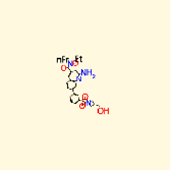 CCCN(OCC)C(=O)C1=Cc2ccc(-c3cccc(S(=O)(=O)N4CC(CO)C4)c3)cc2N=C(N)C1